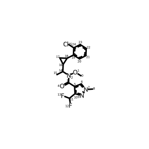 CON(C(=O)c1cn(C)nc1C(F)F)C(C)C1CC1c1ccccc1Cl